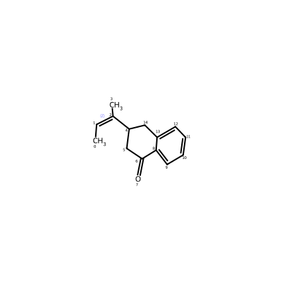 C/C=C(/C)C1CC(=O)c2ccccc2C1